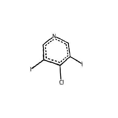 Clc1c(I)cncc1I